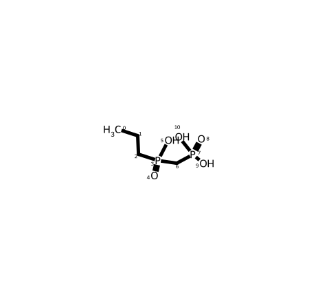 CCCP(=O)(O)CP(=O)(O)O